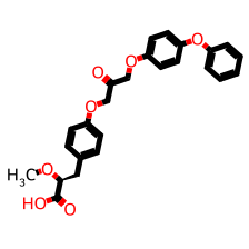 CO[C@@H](Cc1ccc(OCC(=O)COc2ccc(Oc3ccccc3)cc2)cc1)C(=O)O